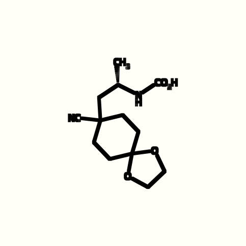 C[C@@H](CC1(C#N)CCC2(CC1)OCCO2)NC(=O)O